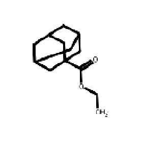 [CH2]COC(=O)C12CC3CC(CC(C3)C1)C2